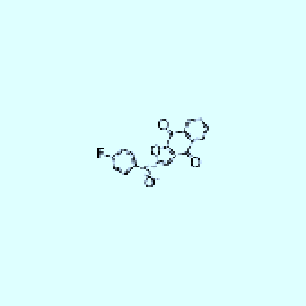 O=C1c2ccccc2C(=O)c2oc([S+]([O-])c3ccc(F)cc3)cc21